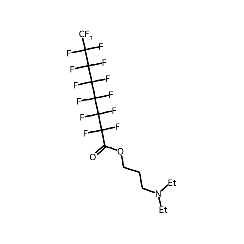 CCN(CC)CCCOC(=O)C(F)(F)C(F)(F)C(F)(F)C(F)(F)C(F)(F)C(F)(F)C(F)(F)F